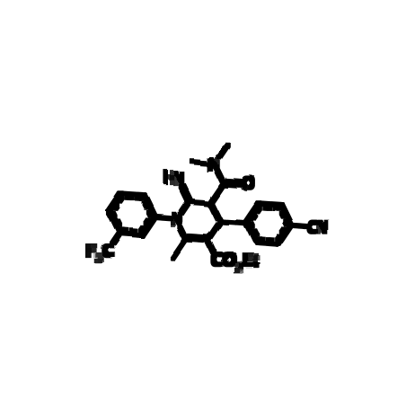 CCOC(=O)C1=C(C)N(c2cccc(C(F)(F)F)c2)C(=N)C(C(=O)N(C)C)C1c1ccc(C#N)cc1